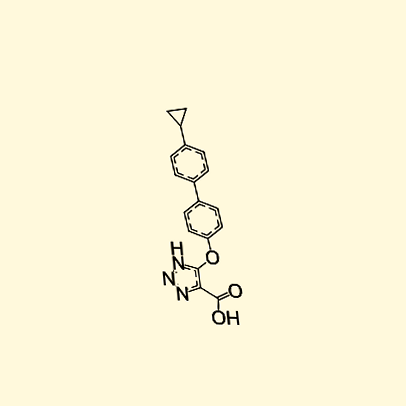 O=C(O)c1nn[nH]c1Oc1ccc(-c2ccc(C3CC3)cc2)cc1